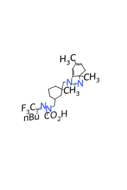 CCCC/C(=N\N(CC1CCCC(C)(CN2C=NC3(C)CC=C(C)C=C23)C1)C(=O)O)C(F)(F)F